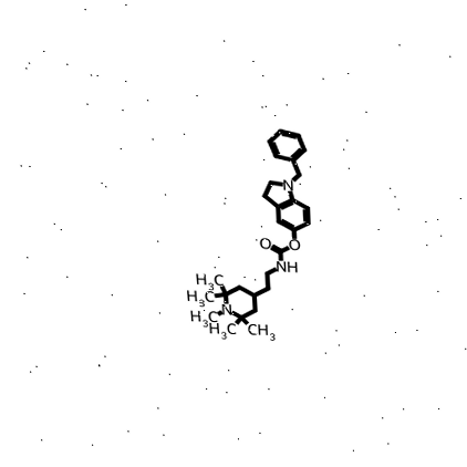 CN1C(C)(C)CC(CCNC(=O)Oc2ccc3c(c2)CCN3Cc2ccccc2)CC1(C)C